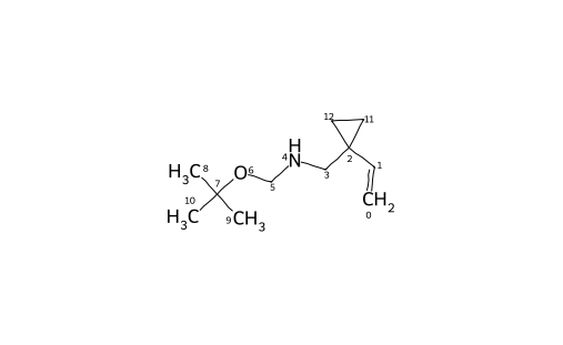 C=CC1(CNCOC(C)(C)C)CC1